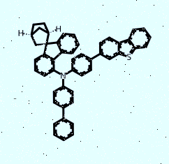 c1ccc(-c2ccc(N(c3ccc(-c4ccc5c(c4)sc4ccccc45)cc3)c3cccc4c3-c3ccccc3[C@]43C[C@H]4CC[C@@H]3C4)cc2)cc1